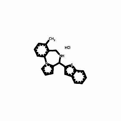 Cc1cccc2c1CNC(c1cc3ccccc3s1)c1cccn1-2.Cl